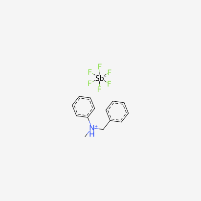 C[NH+](Cc1ccccc1)c1ccccc1.[F][Sb-]([F])([F])([F])([F])[F]